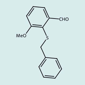 COc1cccc(C=O)c1SCc1ccccc1